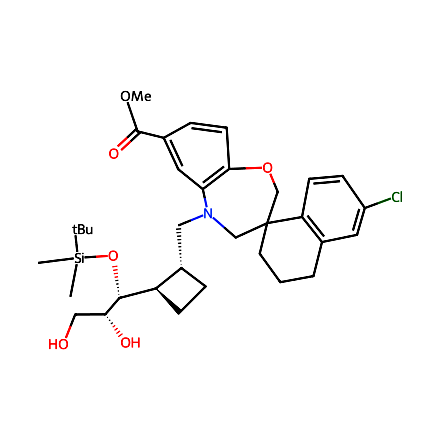 COC(=O)c1ccc2c(c1)N(C[C@@H]1CC[C@H]1[C@@H](O[Si](C)(C)C(C)(C)C)[C@H](O)CO)CC1(CCCc3cc(Cl)ccc31)CO2